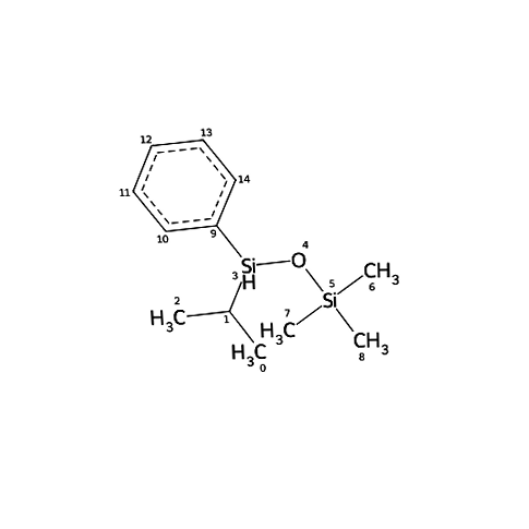 CC(C)[SiH](O[Si](C)(C)C)c1ccccc1